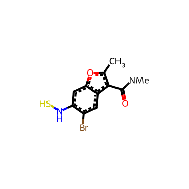 CNC(=O)c1c(C)oc2cc(NS)c(Br)cc12